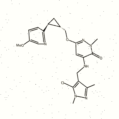 COc1ccc([C@H]2C[C@@H]2COc2cc(NCc3c(C)nn(C)c3Cl)c(=O)n(C)n2)nc1